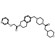 O=C(CC1CCOCC1)N1CCN(Cc2ccc3c(c2)CCN(C(=O)COc2cccnc2)C3)CC1